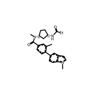 CCC(=O)N[C@H]1CC[C@@H](N(C)C(=O)c2ccc(-c3ccc4c(ccn4C)c3)c(C)c2)C1